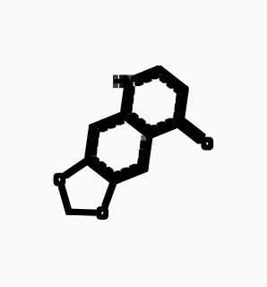 O=c1cc[nH]c2cc3c(cc12)OCO3